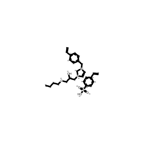 C=Cc1ccc(CN2C=CN(CC(O)COCCCC)C2)cc1.C=Cc1ccc(S(=O)(=O)O)cc1